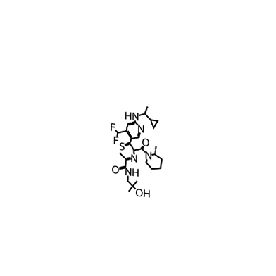 C/C(=N\C(C(=O)N1CCCC[C@@H]1C)C(=S)c1cnc(NC(C)C2CC2)cc1C(F)F)C(=O)NCC(C)(C)O